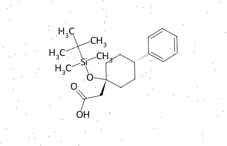 CC(C)(C)[Si](C)(C)O[C@]1(CC(=O)O)CC[C@H](c2ccccc2)CC1